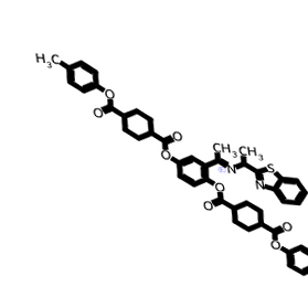 C/C(=N\C(C)c1nc2ccccc2s1)c1cc(OC(=O)C2CCC(C(=O)Oc3ccc(C)cc3)CC2)ccc1OC(=O)C1CCC(C(=O)Oc2ccccc2)CC1